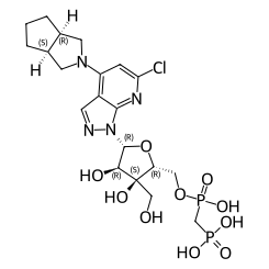 O=P(O)(O)CP(=O)(O)OC[C@H]1O[C@@H](n2ncc3c(N4C[C@H]5CCC[C@H]5C4)cc(Cl)nc32)[C@H](O)[C@@]1(O)CO